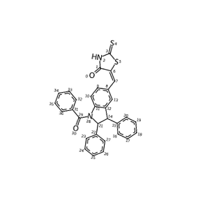 O=C1NC(=S)S/C1=C/c1ccc2c(c1)C(c1ccccc1)C(c1ccccc1)N2C(=O)c1ccccc1